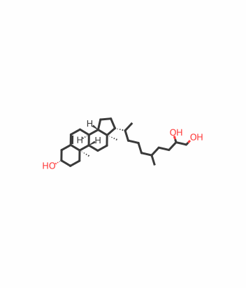 CC(CCCC(C)[C@H]1CC[C@H]2[C@@H]3CC=C4C[C@@H](O)CC[C@]4(C)[C@H]3CC[C@]12C)CCC(O)CO